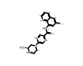 C[C@H]1CN(c2cnc(C(=O)Nc3cc(F)cc4cccnc34)cn2)CCN1